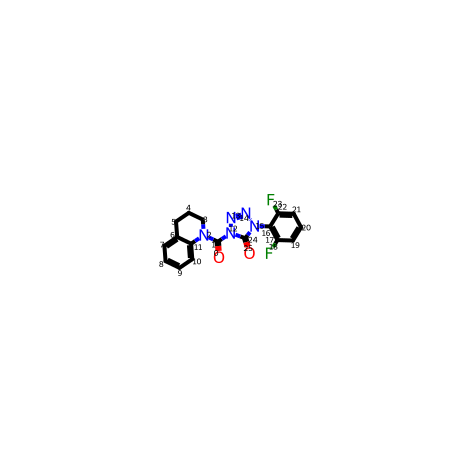 O=C(N1CCCc2ccccc21)n1nnn(-c2c(F)cccc2F)c1=O